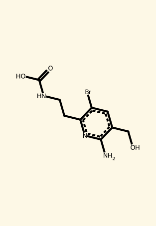 Nc1nc(CCNC(=O)O)c(Br)cc1CO